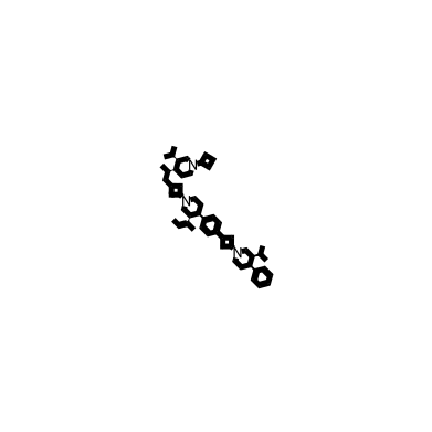 C/C=C(/C)[C@@H]1CN(C2CC(CC(C)[C@H]3CCN(C4CCC4)C[C@H]3C(C)C)C2)CC[C@H]1c1ccc(C2CC(N3CC[C@H](c4ccccc4)[C@H](C(C)C)C3)C2)cc1